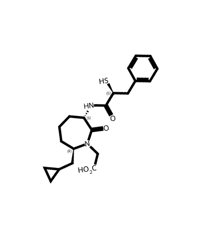 O=C(O)CN1C(=O)[C@@H](NC(=O)[C@@H](S)Cc2ccccc2)CCC[C@@H]1CC1CC1